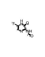 O=CNc1ncc(F)[nH]c1=O